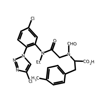 CCN(C(=O)CN(C=O)C(Cc1ccc(C)cc1)C(=O)O)c1cc(Cl)ccc1-n1cc(Cl)nn1